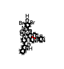 NC(=O)[C@@H](Cc1cc(Br)c(O)c(Br)c1)N(C(=O)N1CCC(c2cc3ccccc3[nH]c2=O)CC1)[C@@H](CC1CCNCC1)C(=O)N1CCN(c2ccncc2)CC1